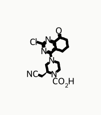 N#CC[C@H]1CN(c2nc(Cl)nc3c2CCCC3=O)CCN1C(=O)O